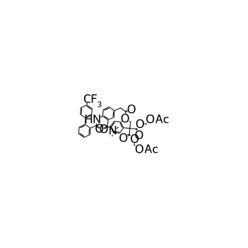 CC(=O)OCOC(=O)C(COC(=O)Cc1ccc(NC(=O)c2ccccc2-c2ccc(C(F)(F)F)cc2)c(C(=O)N(C)C)c1)(C(=O)OCOC(C)=O)c1ccccc1